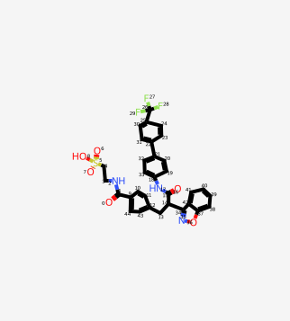 O=C(NCCS(=O)(=O)O)c1ccc(CC(C(=O)Nc2ccc(-c3ccc(C(F)(F)F)cc3)cc2)c2noc3ccccc23)cc1